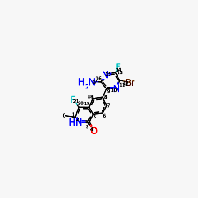 Cc1[nH]c(=O)c2ccc(-c3nc(Br)c(F)nc3N)cc2c1F